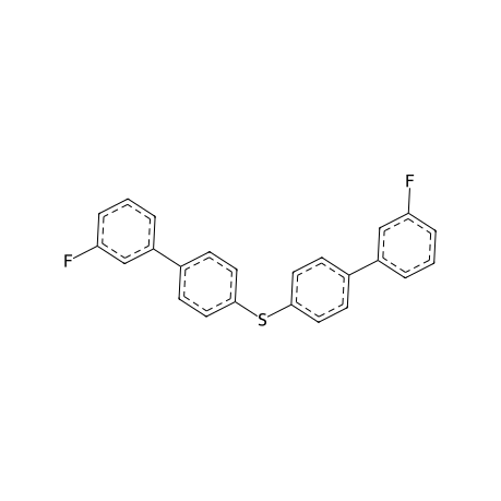 Fc1cccc(-c2ccc(Sc3ccc(-c4cccc(F)c4)cc3)cc2)c1